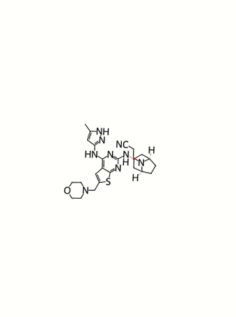 Cc1cc(Nc2nc(N[C@@H]3C[C@H]4CC[C@@H](C3)N4CCC#N)nc3sc(CN4CCOCC4)cc23)n[nH]1